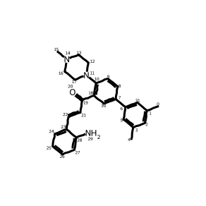 Cc1cc(C)cc(-c2ccc(N3CCN(C)CC3)c(C(=O)/C=C/c3ccccc3N)c2)c1